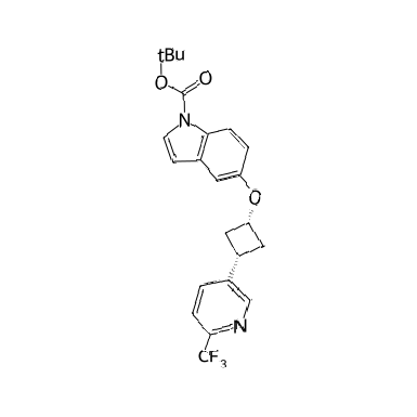 CC(C)(C)OC(=O)n1ccc2cc(O[C@H]3C[C@@H](c4ccc(C(F)(F)F)nc4)C3)ccc21